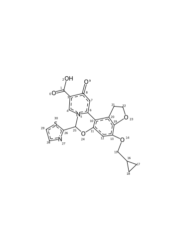 O=C(O)c1cn2c(cc1=O)-c1c(cc(OCC3CC3)c3c1CCO3)OC2c1nccs1